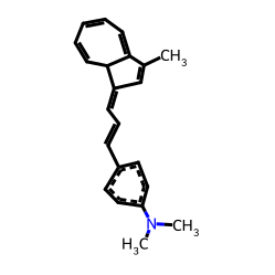 CC1=CC(=CC=Cc2ccc(N(C)C)cc2)C2C=CC=CC=C12